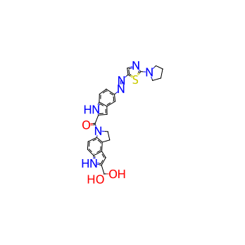 O=C(c1cc2cc(/N=N/c3cnc(N4CCCC4)s3)ccc2[nH]1)N1CCc2c1ccc1[nH]c(C(O)O)cc21